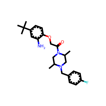 CC1CN(C(=O)COc2ccc(C(C)(C)C)cc2N)C(C)CN1Cc1ccc(F)cc1